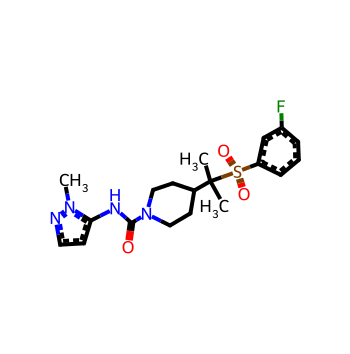 Cn1nccc1NC(=O)N1CCC(C(C)(C)S(=O)(=O)c2cccc(F)c2)CC1